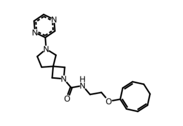 O=C(NCCOC1=C/C=CCC/C=C\1)N1CC2(CCN(c3cnccn3)C2)C1